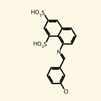 O=S(=O)(O)c1cc(S(=O)(=O)O)c2c(N=Cc3cccc(Cl)c3)cccc2c1